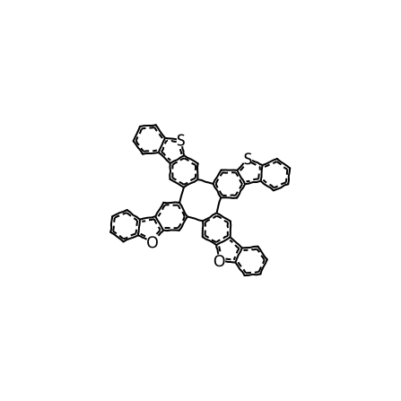 c1ccc2c(c1)oc1cc3c(cc12)-c1cc2c(cc1-c1cc4sc5ccccc5c4cc1-c1cc4c(cc1-3)oc1ccccc14)sc1ccccc12